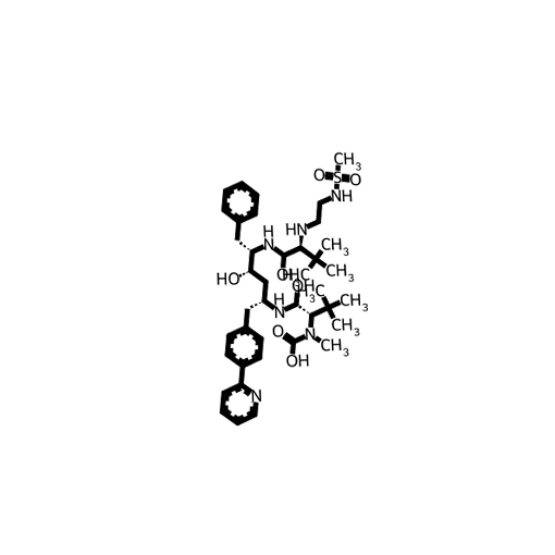 CN(C(=O)O)[C@H](C(O)N[C@H](Cc1ccc(-c2ccccn2)cc1)C[C@H](O)[C@H](Cc1ccccc1)NC(O)[C@@H](NCCNS(C)(=O)=O)C(C)(C)C)C(C)(C)C